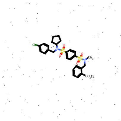 CCOC(=O)c1ccccc1CN(C)S(=O)(=O)c1ccc(S(=O)(=O)N(Cc2ccc(Cl)cc2)C2CCCC2)cc1